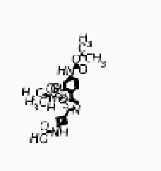 CC(C)OC(=O)Nc1ccc(-c2cnc(C34CC(NC(=O)O)(C3)C4)s2)c(S(=O)(=O)NC(C)(C)C)c1